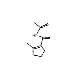 C=C(C)NC(=C)C1=C(C)CCC1